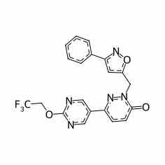 O=c1ccc(-c2cnc(OCC(F)(F)F)nc2)nn1Cc1cc(-c2ccccc2)no1